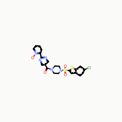 O=C(c1cnc(-c2cccc[n+]2[O-])nc1)N1CCN(S(=O)(=O)c2cc3ccc(Cl)cc3s2)CC1